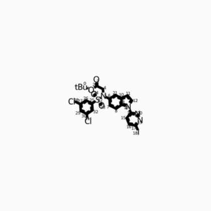 CC(C)(C)OC(=O)CN(c1ccc2c(ccn2-c2ccc(I)nn2)c1)S(=O)(=O)c1cc(Cl)cc(Cl)c1